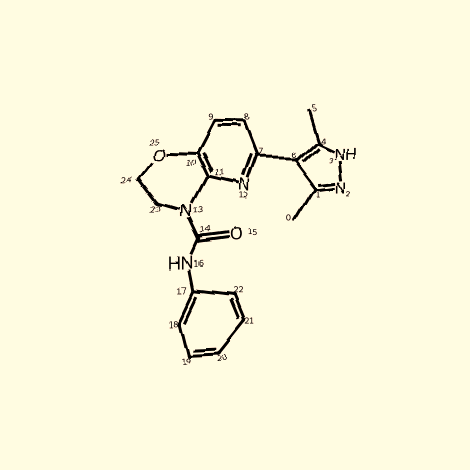 Cc1n[nH]c(C)c1-c1ccc2c(n1)N(C(=O)Nc1ccccc1)CCO2